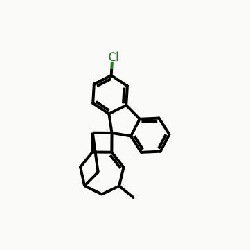 CC1C=C2C3CC(C1)CC3C21c2ccccc2-c2cc(Cl)ccc21